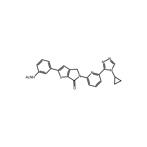 CC(=O)Nc1cccc(-c2cc3c(s2)C(=O)N(c2cccc(-c4nncn4C4CC4)n2)C3)c1